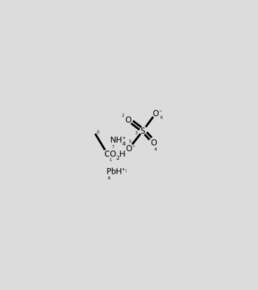 CC(=O)O.O=S(=O)([O-])[O-].[NH4+].[PbH+]